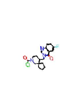 O=C(Cl)N1CCC(Cn2cnc3ccc(F)cc3c2=O)C2(CCCC2)C1